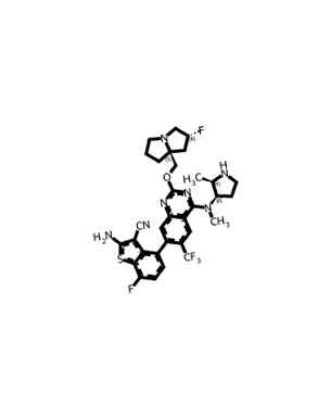 C[C@H]1NCC[C@H]1N(C)c1nc(OC[C@@]23CCCN2C[C@H](F)C3)nc2cc(-c3ccc(F)c4sc(N)c(C#N)c34)c(C(F)(F)F)cc12